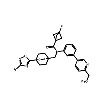 COCc1ccc(-c2cccc(N(CC34CCC(c5nc(C(C)C)no5)(CC3)CC4)C(=O)C34CC(F)(C3)C4)c2)cn1